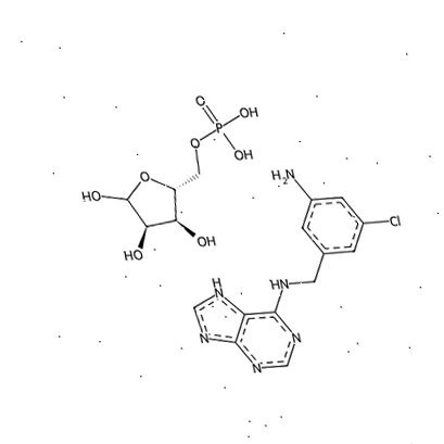 Nc1cc(Cl)cc(CNc2ncnc3nc[nH]c23)c1.O=P(O)(O)OC[C@H]1OC(O)[C@H](O)[C@@H]1O